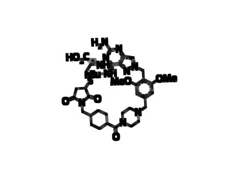 CCCCNc1nc(N)nc2cn(Cc3c(OC)cc(CN4CCN(C(=O)C5CCC(CN6C(=O)CC(SC[C@@H](N)C(=O)O)C6=O)CC5)CC4)cc3OC)nc12